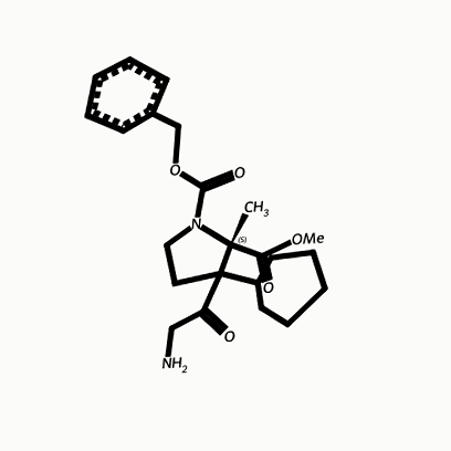 COC(=O)[C@@]1(C)N(C(=O)OCc2ccccc2)CCC1(C(=O)CN)C1CCCCC1